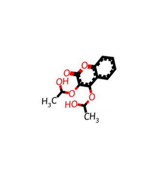 CC(O)Oc1c(OC(C)O)c2ccccc2oc1=O